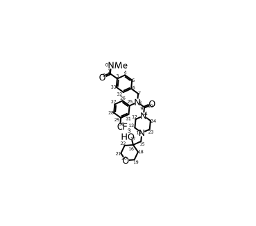 CNC(=O)c1ccc(CN(C(=O)N2CCN(CC3(O)CCOCC3)CC2)c2cccc(C(F)(F)F)c2)cc1